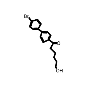 O=C(CCCCCO)c1ccc(-c2ccc(Br)cc2)cc1